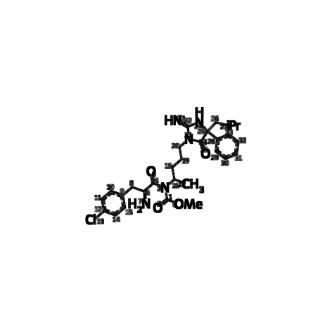 COC(=O)N(C(=O)[C@@H](N)Cc1ccc(Cl)cc1)C(C)CCCN1C(=N)NC(CC(C)C)(c2ccccc2)C1=O